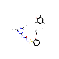 CC(C)(C)c1cc([N+](=O)[O-])cc([N+](=O)[O-])c1O.COCCOc1ccccc1S(=O)(=O)NC(=O)Nc1nc(OC)nc(OC)n1